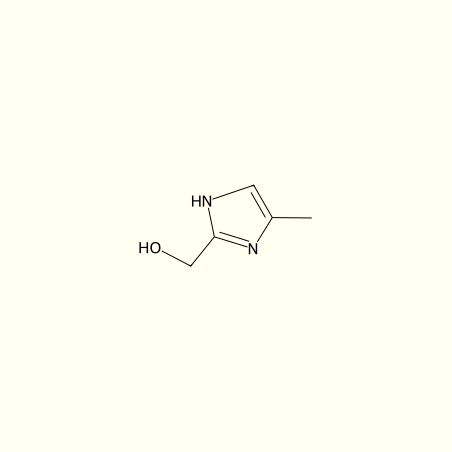 Cc1c[nH]c(CO)n1